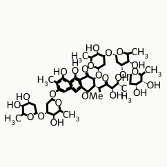 COC(C(=O)[C@@H](O)[C@@H](C)O)[C@@H]1Cc2cc3cc(O[C@H]4C[C@@H](O[C@H]5C[C@@H](O)[C@H](O)C(C)O5)[C@H](O)C(C)O4)c(C)c(O)c3c(O)c2C(=O)[C@H]1O[C@H]1C[C@@H](O[C@H]2C[C@@H](O[C@H]3C[C@@H](O)[C@@H](O)C(C)O3)[C@@H](O)C(C)O2)[C@H](O)C(C)O1